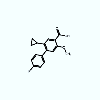 COc1cc(-c2ccc(F)cc2)c(C2CC2)cc1C(=O)O